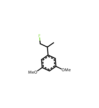 COc1cc(OC)cc([C](C)CF)c1